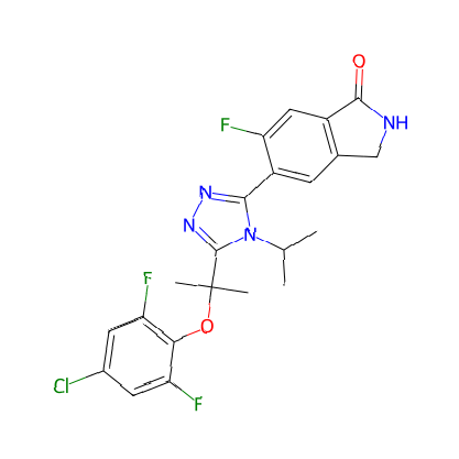 CC(C)n1c(-c2cc3c(cc2F)C(=O)NC3)nnc1C(C)(C)Oc1c(F)cc(Cl)cc1F